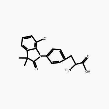 CC1(C)C(=O)N(c2ccc(CC(N)C(=O)O)cc2)c2c(Cl)cccc21